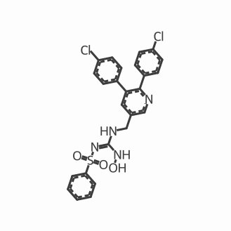 O=S(=O)(/N=C(\NO)NCc1cnc(-c2ccc(Cl)cc2)c(-c2ccc(Cl)cc2)c1)c1ccccc1